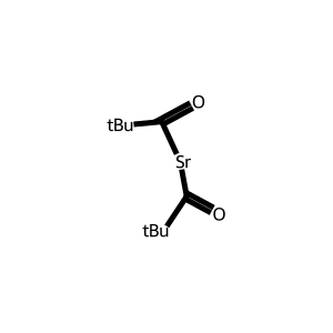 CC(C)(C)[C](=O)[Sr][C](=O)C(C)(C)C